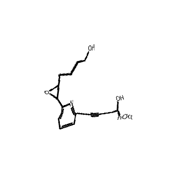 CCCCCCCCC(O)C#Cc1cccc(C2OC2CCCCO)n1